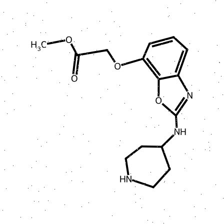 COC(=O)COc1cccc2nc(NC3CCNCC3)oc12